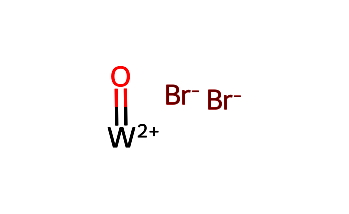 [Br-].[Br-].[O]=[W+2]